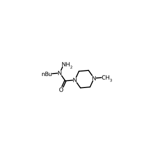 CCCCN(N)C(=O)N1CCN(C)CC1